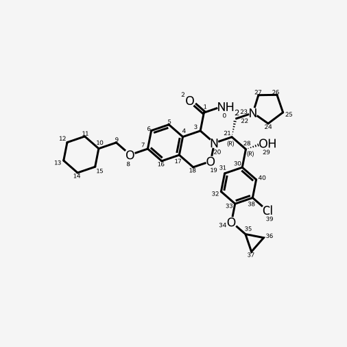 NC(=O)C1c2ccc(OCC3CCCCC3)cc2CON1[C@H](CN1CCCC1)[C@H](O)c1ccc(OC2CC2)c(Cl)c1